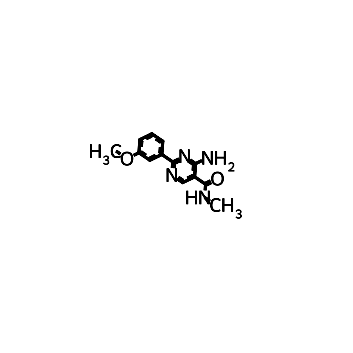 CNC(=O)c1cnc(-c2cccc(OC)c2)nc1N